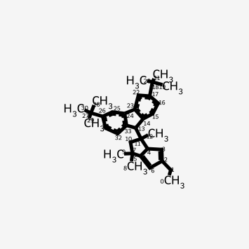 CCC1=CC2C(=C1)C(C)(C)CC2(C)C1c2ccc(C(C)(C)C)cc2-c2cc(C(C)(C)C)ccc21